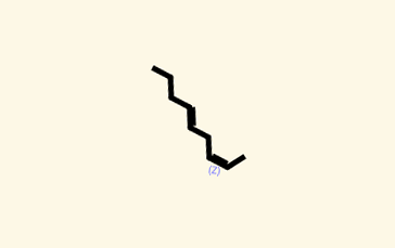 C/C=C\CC=CCCC